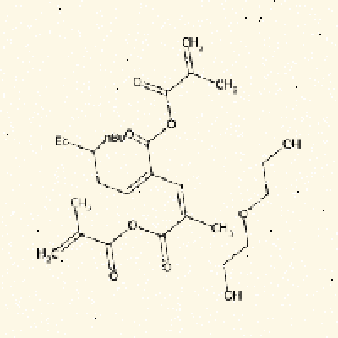 C=C(C)C(=O)OC(=O)C(C)=CC(=CCC(CC)CCCC)C(=O)OC(=O)C(=C)C.OCCOCCO